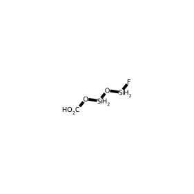 O=C(O)O[SiH2]O[SiH2]F